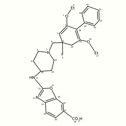 CCOC1=CC(F)(CN2CCC(Nc3nc4ccc(C(=O)O)cc4o3)CC2)CC(OCC)=C1c1ccccc1